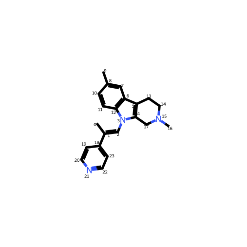 C/C(=C\n1c2c(c3cc(C)ccc31)CCN(C)C2)c1ccncc1